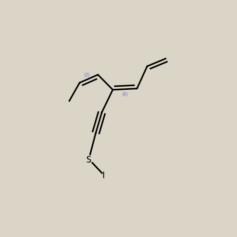 C=C/C=C(C#CSI)\C=C/C